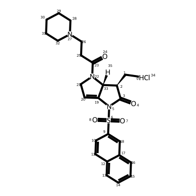 CC[C@H]1C(=O)N(S(=O)(=O)c2ccc3ccccc3c2)C2=CCN(C(=O)CCN3CCCCC3)[C@@H]21.Cl